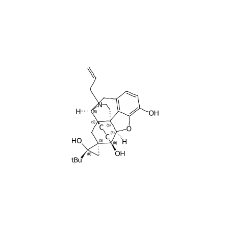 C=CCN1CC[C@]23c4c5ccc(O)c4O[C@H]2[C@@]2(O)CC[C@@]3(C[C@@]23C[C@@]3(O)C(C)(C)C)[C@H]1C5